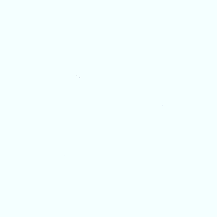 CN1CCC(=C2c3ccccc3COc3ccc(CC(=O)O)cc32)CC1